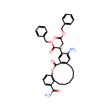 NC(=O)c1cccc2c1CCCCCCc1cc(N)c([C@H](CC(=O)OCc3ccccc3)C(=O)OCc3ccccc3)cc1C(=O)O2